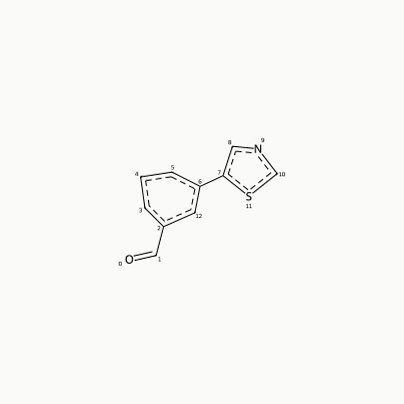 O=Cc1cccc(-c2cncs2)c1